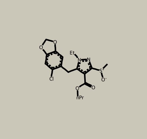 CCCOC(=O)c1c([S+](C)[O-])nn(CC)c1Cc1cc2c(cc1Cl)OCO2